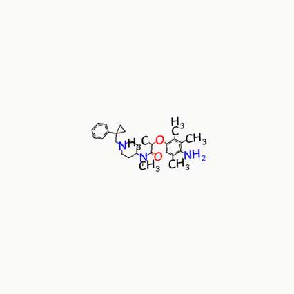 Cc1cc(OC(C)C(=O)N(C)C2CCN(CC3(c4ccccc4)CC3)CC2)c(C)c(C)c1N